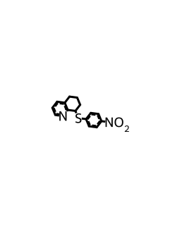 O=[N+]([O-])c1ccc(SC2CCCc3cccnc32)cc1